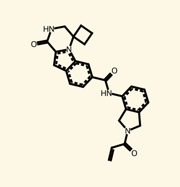 C=CC(=O)N1Cc2cccc(NC(=O)c3ccc4cc5n(c4c3)C3(CCC3)CNC5=O)c2C1